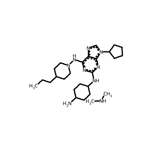 CCCC1CCN(Nc2nc(NC3CCC(N)CC3)nc3c2ncn3C2CCCC2)CC1.CNC